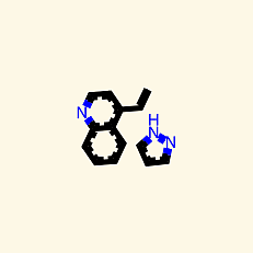 C=Cc1ccnc2ccccc12.c1cn[nH]c1